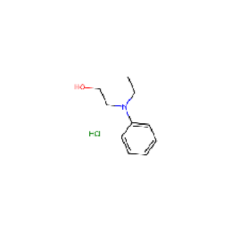 CCN(CCO)c1ccccc1.Cl